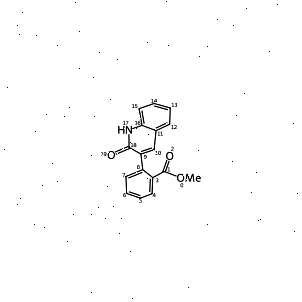 COC(=O)c1ccccc1-c1cc2ccccc2[nH]c1=O